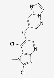 Cn1c(Cl)nc2ncc(Oc3cnn4ccnc4c3)c(Cl)c21